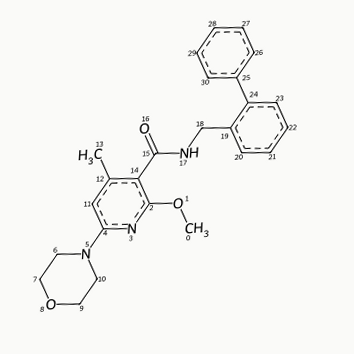 COc1nc(N2CCOCC2)cc(C)c1C(=O)NCc1ccccc1-c1ccccc1